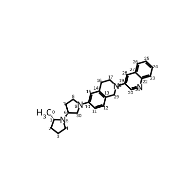 C[C@H]1CCCN1[C@H]1CCN(c2ccc3c(c2)CCN(c2cnc4ccccc4c2)C3)C1